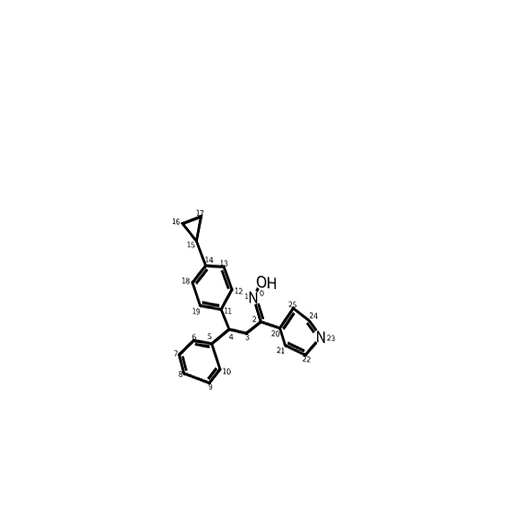 ON=C(CC(c1ccccc1)c1ccc(C2CC2)cc1)c1ccncc1